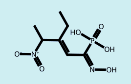 CC/C(=C\C(=N\O)P(=O)(O)O)C(C)[N+](=O)[O-]